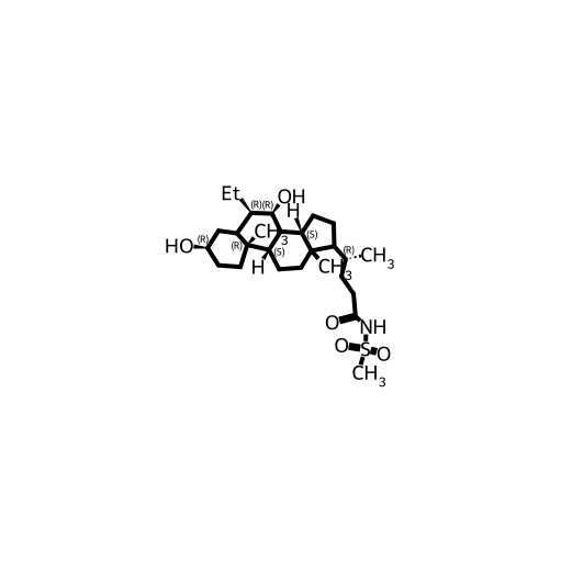 CC[C@@H]1C2C[C@H](O)CC[C@@]2(C)[C@H]2CCC3(C)C([C@H](C)CCC(=O)NS(C)(=O)=O)CC[C@H]3C2[C@@H]1O